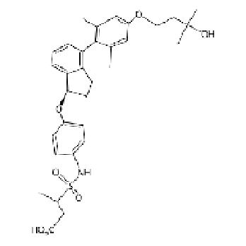 Cc1cc(OCCC(C)(C)O)cc(C)c1-c1cccc2c1CC[C@H]2Oc1ccc(NS(=O)(=O)C(C)CC(=O)O)cc1